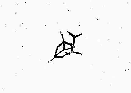 CC(=O)N[C@@H]1[C@@H]2C[C@H]1CN(C)C2